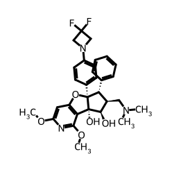 COc1cc2c(c(OC)n1)[C@]1(O)[C@H](O)[C@H](CN(C)C)[C@@H](c3ccccc3)[C@]1(c1ccc(N3CC(F)(F)C3)cc1)O2